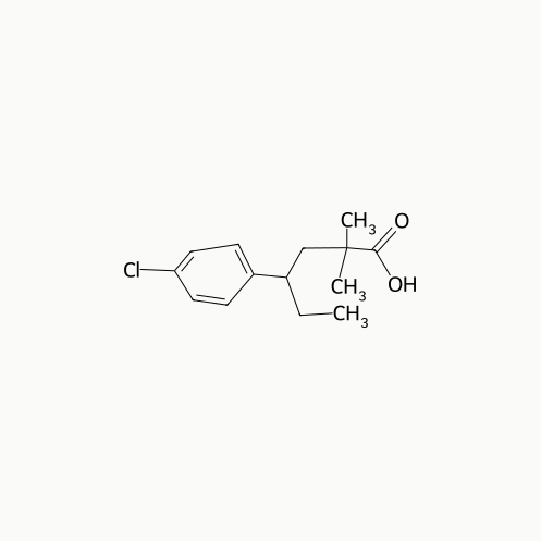 CCC(CC(C)(C)C(=O)O)c1ccc(Cl)cc1